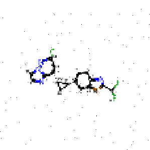 FC(F)c1nc2ccc([C@@H]3C[C@@H]3c3cc(Cl)nn4ccnc34)cc2s1